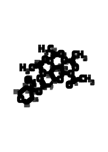 CC(=O)OC1O[C@H](CC(=O)OC2(N=O)CCOCC2)[C@H](OC(C)=O)[C@@H](OC(C)=O)[C@@H]1OC(C)=O